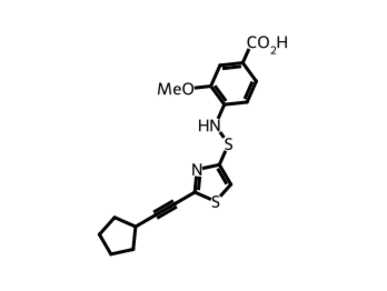 COc1cc(C(=O)O)ccc1NSc1csc(C#CC2CCCC2)n1